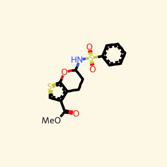 COC(=O)c1csc2c1CCC(NS(=O)(=O)c1ccccc1)O2